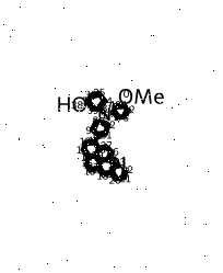 COc1cccc(N(c2ccc(-c3ccc4ccc5cc6cccnc6c6ccc3c4c56)cc2)c2cccc(O)c2)c1